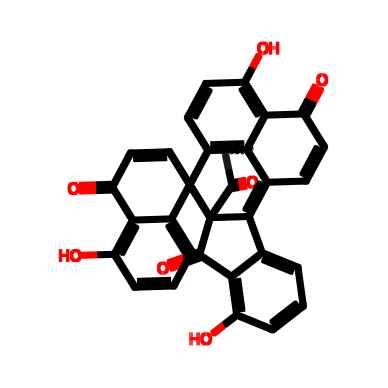 COC(=O)C12C(=O)c3c(O)cccc3C1=C1C=CC(=O)c3c(O)ccc(c31)C21C=CC(=O)c2c(O)cccc21